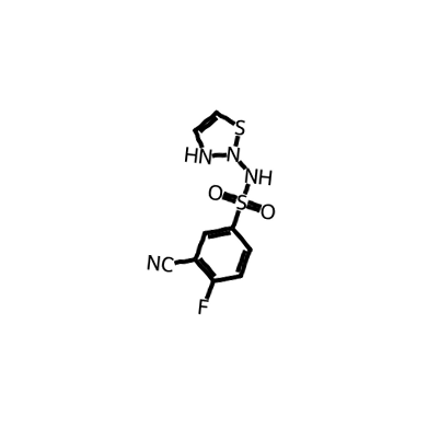 N#Cc1cc(S(=O)(=O)NN2NC=CS2)ccc1F